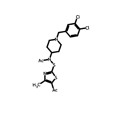 CC(=O)c1sc(SN(C(C)=O)C2CCN(Cc3ccc(Cl)c(Cl)c3)CC2)nc1C